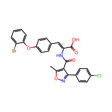 Cc1onc(-c2ccc(Cl)cc2)c1C(=O)N/C(=C\c1ccc(Oc2ccccc2Br)cc1)C(=O)O